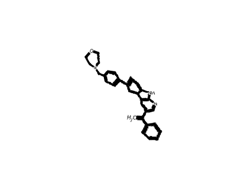 C=C(c1ccccc1)c1cnc2[nH]c3ccc(-c4ccc(CN5CCOCC5)cc4)cc3c2c1